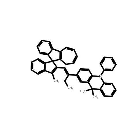 CC/C(=C\C1=C(C)c2ccccc2C12C1=C(C=CC=CC1)c1ccccc12)c1ccc2c(c1)C(C)(C)c1ccccc1N2c1ccccc1